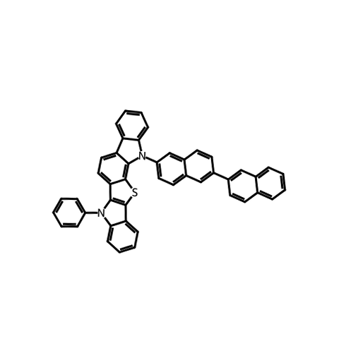 c1ccc(-n2c3ccccc3c3sc4c(ccc5c6ccccc6n(-c6ccc7cc(-c8ccc9ccccc9c8)ccc7c6)c54)c32)cc1